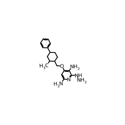 CC1CC(c2ccccc2)CCC1COc1cc(N)nc(NN)c1N